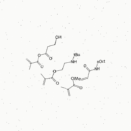 C=C(C)C(=O)OC.C=C(C)C(=O)OC(=O)CCO.C=C(C)C(=O)OCCNC(C)(C)C.C=CC(=O)NCCCCCCCC